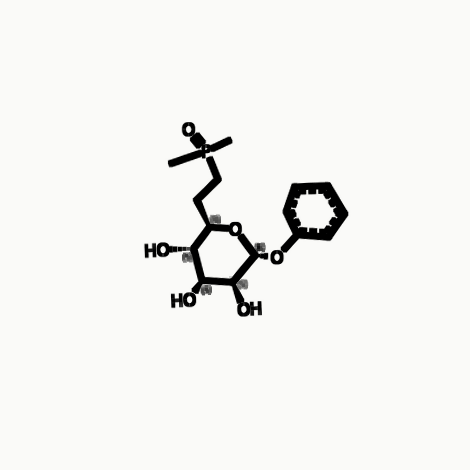 CP(C)(=O)CC[C@H]1O[C@H](Oc2ccccc2)[C@@H](O)[C@@H](O)[C@@H]1O